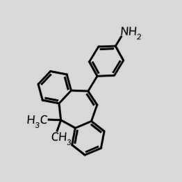 CC1(C)c2ccccc2C=C(c2ccc(N)cc2)c2ccccc21